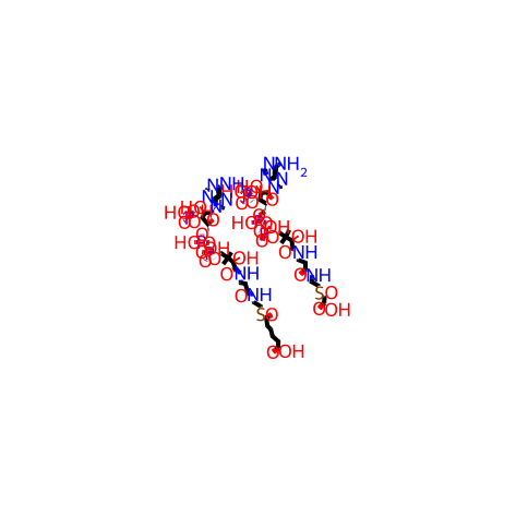 CC(C)(COP(=O)(O)OP(=O)(O)OC[C@H]1O[C@@H](n2cnc3c(N)ncnc32)[C@H](O)[C@@H]1OP(=O)(O)O)[C@@H](O)C(=O)NCCC(=O)NCCSC(=O)C(=O)O.CC(C)(COP(=O)(O)OP(=O)(O)OC[C@H]1O[C@@H](n2cnc3c(N)ncnc32)[C@H](O)[C@@H]1OP(=O)(O)O)[C@@H](O)C(=O)NCCC(=O)NCCSC(=O)CCCCC(=O)O